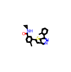 Cc1ccc(C(=O)NC2CC2)cc1-c1cc2cnnc(-c3ccccc3C)c2s1